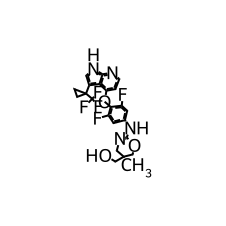 CC1(CO)CN=C(Nc2cc(F)c(Oc3ccnc4[nH]cc(C5(C(F)(F)F)CC5)c34)c(F)c2)OC1